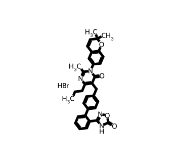 Br.CCCc1nc(C)n(-c2ccc3c(c2)C=CC(C)(C)O3)c(=O)c1Cc1ccc(-c2ccccc2-c2noc(=O)[nH]2)cc1